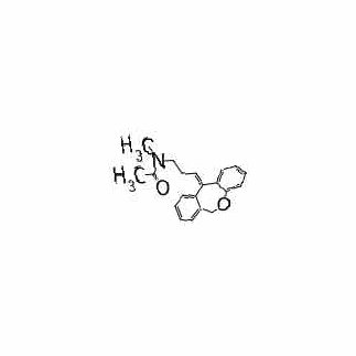 CC(=O)N(C)CC/C=C1\c2ccccc2COc2ccccc21